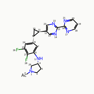 CC(=O)N1CC[C@@H](Nc2cc([C@@H]3C[C@H]3c3cnc(-c4ncccn4)nc3)cc(F)c2F)C1